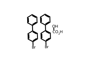 Brc1ccc(-c2ccccc2)cc1.Brc1ccc(-c2ccccc2)cc1.O=C(O)O